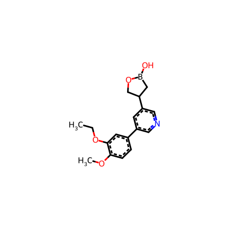 CCOc1cc(-c2cncc(C3COB(O)C3)c2)ccc1OC